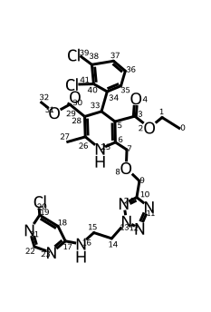 CCOC(=O)C1=C(COCc2nnn(CCNc3cc(Cl)ncn3)n2)NC(C)=C(C(=O)OC)C1c1cccc(Cl)c1Cl